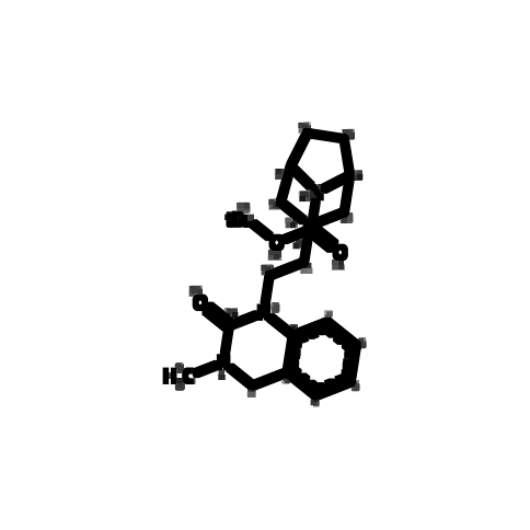 CN1Cc2ccccc2N(CCN2CC3CCC(C2)N3C(=O)OC(C)(C)C)C1=O